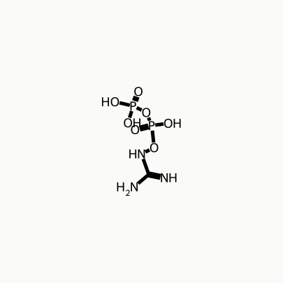 N=C(N)NOP(=O)(O)OP(=O)(O)O